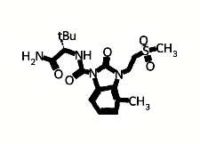 Cc1cccc2c1n(CCS(C)(=O)=O)c(=O)n2C(=O)N[C@H](C(N)=O)C(C)(C)C